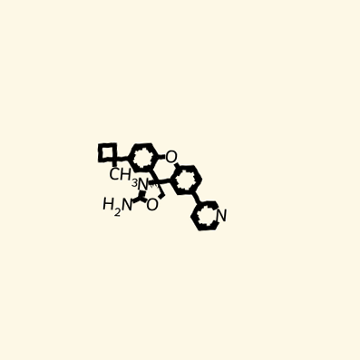 CC1(c2ccc3c(c2)[C@]2(COC(N)=N2)c2cc(-c4cccnc4)ccc2O3)CCC1